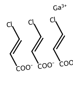 O=C([O-])/C=C/Cl.O=C([O-])/C=C/Cl.O=C([O-])/C=C/Cl.[Ga+3]